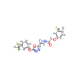 C/C(=C\NC(=O)COc1ccc(C)c(F)c1)c1nnc(Oc2cccc(C(C)(F)F)c2)o1